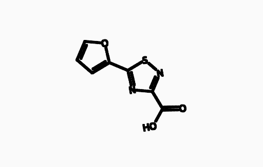 O=C(O)c1nsc(-c2ccco2)n1